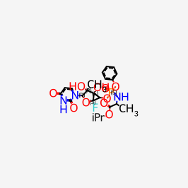 CC(C)OC(=O)C(C)N[P@@](=O)(Oc1ccccc1)OC1[C@]2(O)[C@@](C)(O)[C@H](n3ccc(=O)[nH]c3=O)O[C@]12F